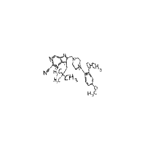 COc1ccc(N2CCN(Cc3nc4cnc(C#N)nc4n3CC(C)(C)C)CC2)c(OC)c1